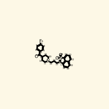 O=C(c1ccc(F)cc1)C1CCN(CCCN2c3cccc4cccc(c34)S2(=O)=O)CC1